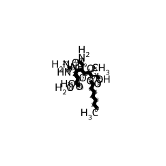 CCCCCCCC(=O)O[C@H](CO)[C@H](OC)[C@@H]1OC(C(=O)O)=C[C@@H](NC(=N)N)[C@H]1CC(N)=O.O